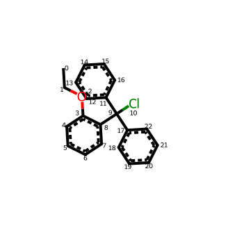 CCOc1ccccc1C(Cl)(c1ccccc1)c1ccccc1